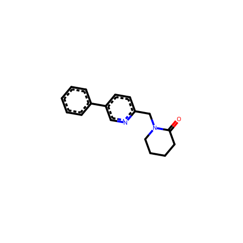 O=C1CCCCN1Cc1ccc(-c2ccccc2)cn1